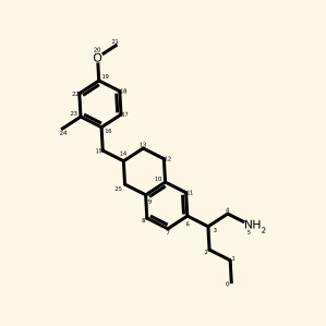 CCCC(CN)c1ccc2c(c1)CCC(Cc1ccc(OC)cc1C)C2